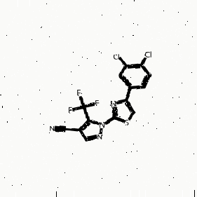 N#Cc1cnn(-c2nc(-c3ccc(Cl)c(Cl)c3)cs2)c1C(F)(F)F